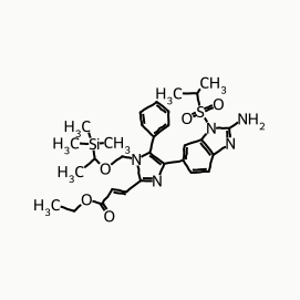 CCOC(=O)C=Cc1nc(-c2ccc3nc(N)n(S(=O)(=O)C(C)C)c3c2)c(-c2ccccc2)n1COC(C)[Si](C)(C)C